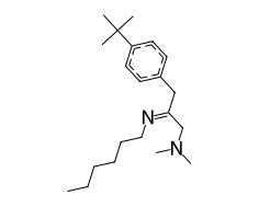 CCCCCCN=C(Cc1ccc(C(C)(C)C)cc1)CN(C)C